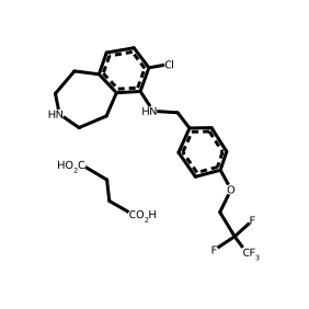 FC(F)(F)C(F)(F)COc1ccc(CNc2c(Cl)ccc3c2CCNCC3)cc1.O=C(O)CCC(=O)O